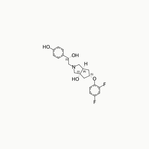 Oc1ccc([C@H](O)CN2C[C@H]3C[C@H](Oc4ccc(F)cc4F)C[C@@]3(O)C2)cc1